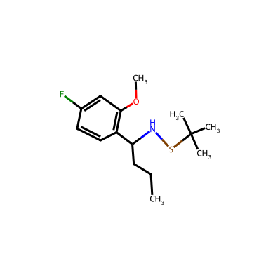 CCCC(NSC(C)(C)C)c1ccc(F)cc1OC